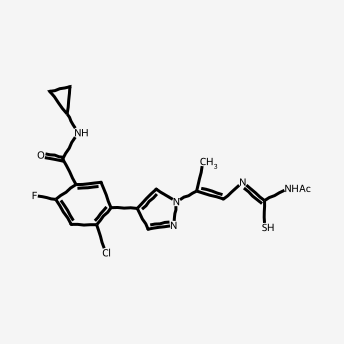 CC(=O)N/C(S)=N/C=C(\C)n1cc(-c2cc(C(=O)NC3CC3)c(F)cc2Cl)cn1